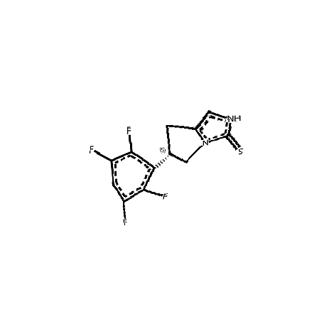 Fc1cc(F)c(F)c([C@@H]2Cc3c[nH]c(=S)n3C2)c1F